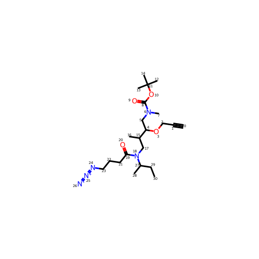 C#CCOC(CN(C)C(=O)OC(C)(C)C)C(C)CN(C(=O)CCCN=[N+]=[N-])C(C)CC